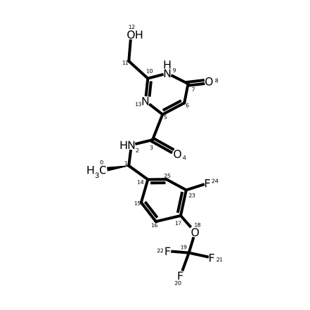 C[C@@H](NC(=O)c1cc(=O)[nH]c(CO)n1)c1ccc(OC(F)(F)F)c(F)c1